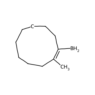 B/C1=C(\C)CCCCCCCC1